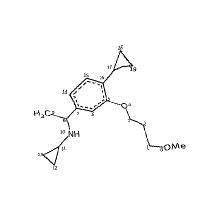 COCCCOc1cc(C(C)NC2CC2)ccc1C1CC1